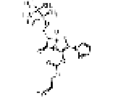 C=CCOC(=O)OC1=C(n2cccn2)S[C@@H]2[C@@H](CO[Si](C)(C)C(C)(C)C)C(=O)N12